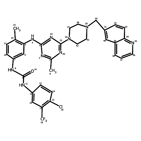 Cc1nc(Nc2cc(NC(=O)Nc3ccc(Cl)c(C(F)(F)F)c3)ccc2C)nc(N2CCN(Cc3ccc4ncccc4c3)CC2)n1